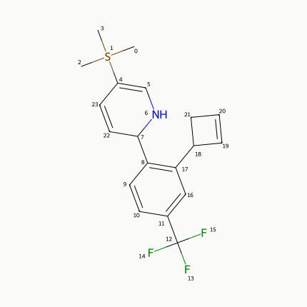 CS(C)(C)C1=CNC(c2ccc(C(F)(F)F)cc2C2C=CC2)C=C1